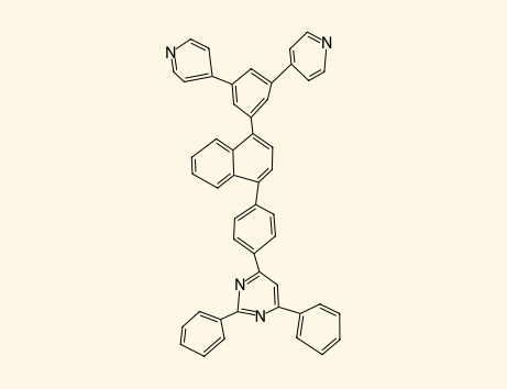 c1ccc(-c2cc(-c3ccc(-c4ccc(-c5cc(-c6ccncc6)cc(-c6ccncc6)c5)c5ccccc45)cc3)nc(-c3ccccc3)n2)cc1